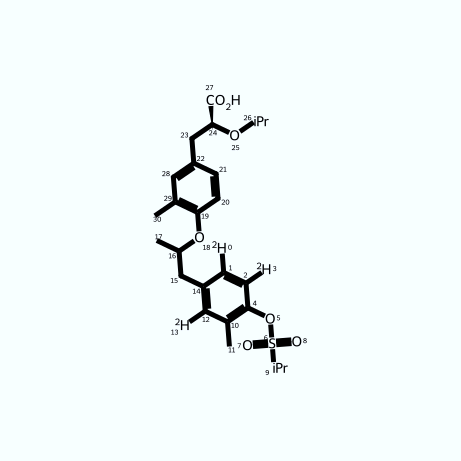 [2H]c1c([2H])c(OS(=O)(=O)C(C)C)c(C)c([2H])c1CC(C)Oc1ccc(C[C@H](OC(C)C)C(=O)O)cc1C